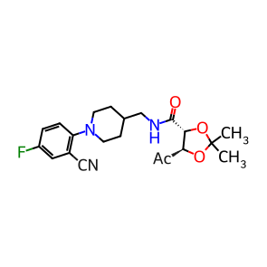 CC(=O)[C@@H]1OC(C)(C)O[C@H]1C(=O)NCC1CCN(c2ccc(F)cc2C#N)CC1